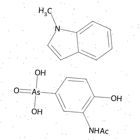 CC(=O)Nc1cc([As](=O)(O)O)ccc1O.Cn1ccc2ccccc21